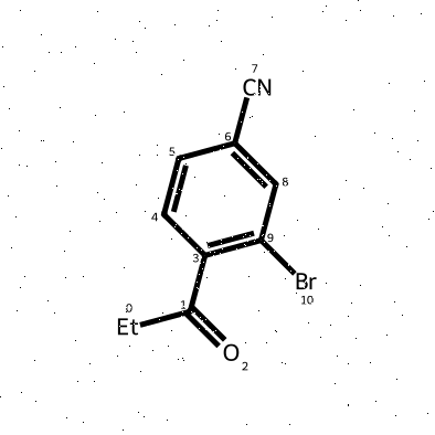 CCC(=O)c1ccc(C#N)cc1Br